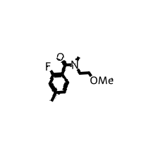 COCCN(C)C(=O)c1ccc(C)cc1F